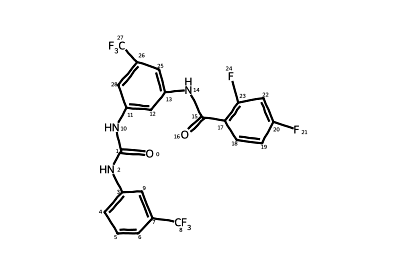 O=C(Nc1cccc(C(F)(F)F)c1)Nc1cc(NC(=O)c2ccc(F)cc2F)cc(C(F)(F)F)c1